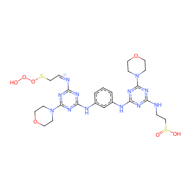 O=S(O)CCNc1nc(Nc2cccc(Nc3nc(/N=C\CSOOO)nc(N4CCOCC4)n3)c2)nc(N2CCOCC2)n1